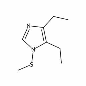 CCc1ncn(SC)c1CC